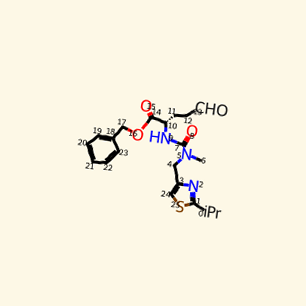 CC(C)c1nc(CN(C)C(=O)N[C@@H](CCC=O)C(=O)OCc2ccccc2)cs1